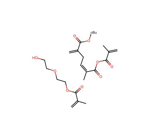 C=C(C)C(=O)OC(=O)C(C)=CCC(=C)C(=O)OCCCC.C=C(C)C(=O)OCCOCCO